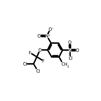 Cc1cc(OC(F)(F)C(Cl)Cl)c([N+](=O)[O-])cc1S(=O)(=O)Cl